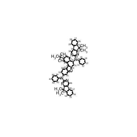 CC(C)(C)c1ccc2c(N(c3ccccc3)c3ncc4c(n3)C(C)(C)c3ccccc3-4)cc3oc4cc(N(c5ccccc5)c5ncc6c(n5)C(C)(C)c5ccccc5-6)ccc4c3c2c1